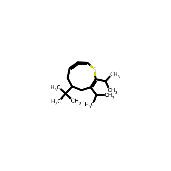 CC(C)/C1=C(\C(C)C)SC=C=CCC(C(C)(C)C)C1